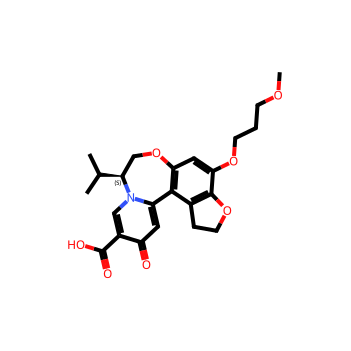 COCCCOc1cc2c(c3c1OCC3)-c1cc(=O)c(C(=O)O)cn1[C@@H](C(C)C)CO2